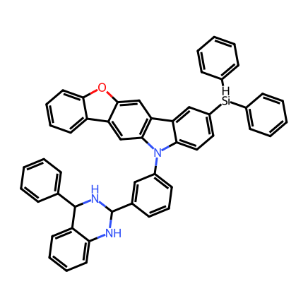 c1ccc(C2NC(c3cccc(-n4c5ccc([SiH](c6ccccc6)c6ccccc6)cc5c5cc6oc7ccccc7c6cc54)c3)Nc3ccccc32)cc1